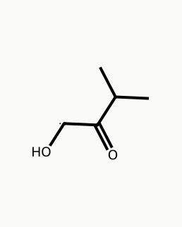 CC(C)C(=O)[CH]O